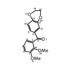 COc1cccc(C(=O)c2ccc3c(c2)OCCO3)c1OC